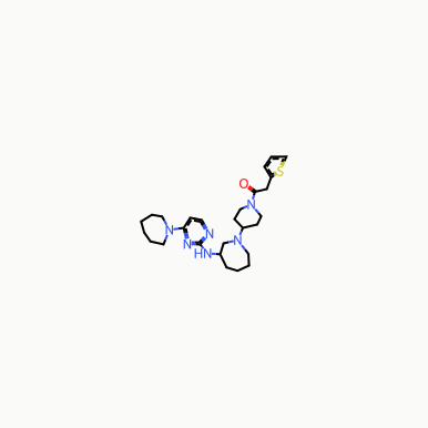 O=C(Cc1cccs1)N1CCC(N2CCCCC(Nc3nccc(N4CCCCCC4)n3)C2)CC1